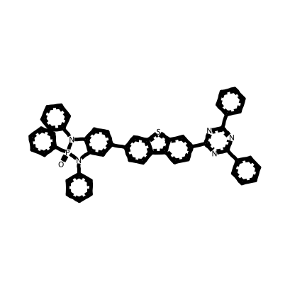 O=P1(c2ccccc2)N(c2ccccc2)c2ccc(-c3ccc4c(c3)sc3cc(-c5nc(-c6ccccc6)nc(-c6ccccc6)n5)ccc34)cc2N1c1ccccc1